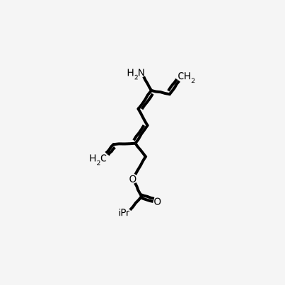 C=C/C(N)=C\C=C(/C=C)COC(=O)C(C)C